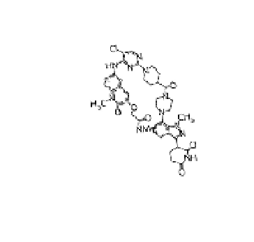 CNC(=O)COc1cc2cc(Nc3nc(N4CCC(C(=O)N5CCN(c6cccc7c(C8CCC(=O)NC8=O)nn(C)c67)CC5)CC4)ncc3Cl)ccc2n(C)c1=O